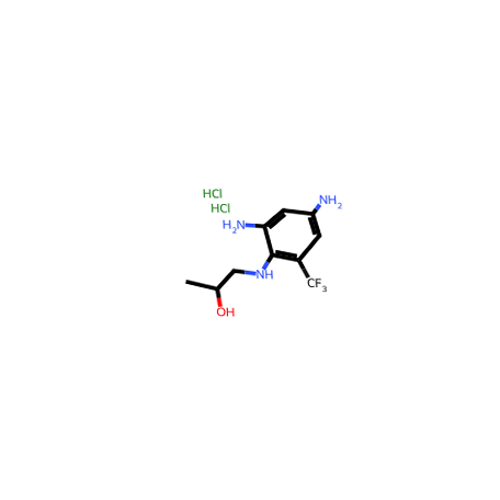 CC(O)CNc1c(N)cc(N)cc1C(F)(F)F.Cl.Cl